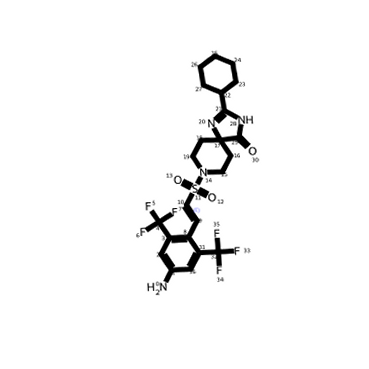 Nc1cc(C(F)(F)F)c(/C=C/S(=O)(=O)N2CCC3(CC2)N=C(C2CCCCC2)NC3=O)c(C(F)(F)F)c1